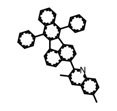 Cc1ccc2nc(-c3ccc4c5c(cccc35)-c3c-4c(-c4ccccc4)c4ccccc4c3-c3ccccc3)c(C)cc2c1